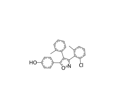 Cc1ccccc1-c1c(-c2c(C)cccc2Cl)noc1-c1ccc(O)cc1